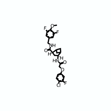 COc1c(F)cc(CNC(=O)[C@@H]2C[C@H](NC(=O)COc3ccc(Cl)c(F)c3)C3CC2C3)cc1F